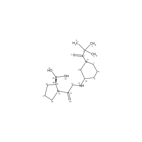 CC(C)(C)C(=O)N1CCCC(NCC(=O)N2CCC[C@H]2B(O)O)C1